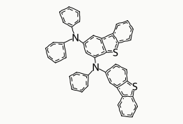 c1ccc(N(c2ccccc2)c2cc(N(c3ccccc3)c3ccc4sc5ccccc5c4c3)c3sc4ccccc4c3c2)cc1